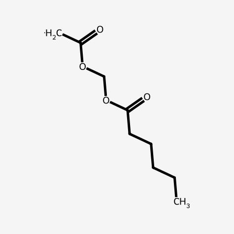 [CH2]C(=O)OCOC(=O)CCCCC